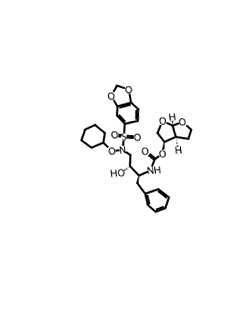 O=C(N[C@@H](Cc1ccccc1)[C@H](O)CN(OC1CCCCC1)S(=O)(=O)c1ccc2c(c1)OCO2)O[C@H]1CO[C@H]2OCC[C@H]21